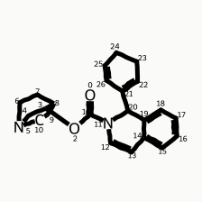 O=C(OC1CN2CCC1CC2)N1C=Cc2ccccc2C1C1=CCCC=C1